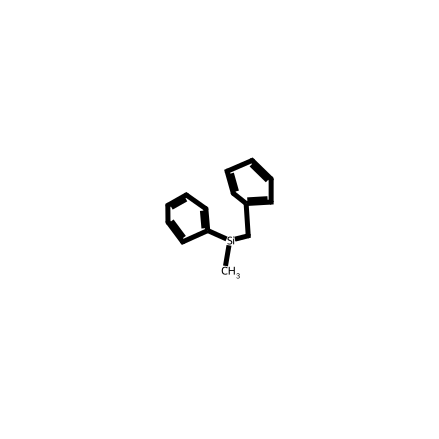 C[Si](Cc1ccccc1)c1ccccc1